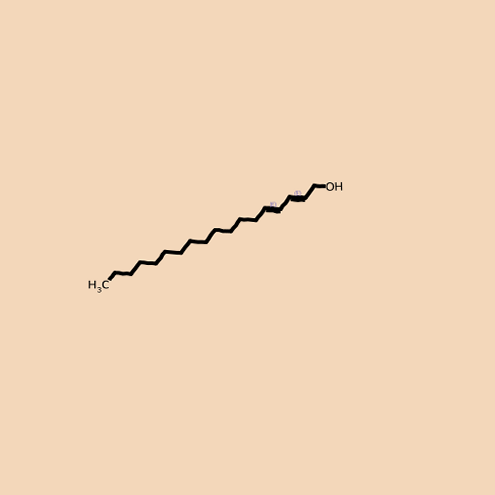 CCCCCCCCCCCCC/C=C/C=C/CO